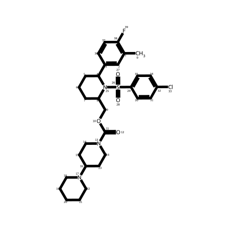 Cc1cc(C2CCCC(COC(=O)N3CCC(N4CCCCC4)CC3)N2S(=O)(=O)c2ccc(Cl)cc2)ccc1F